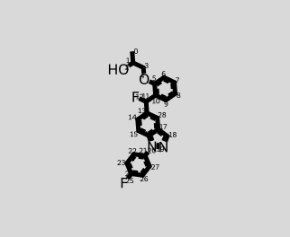 CC(O)COc1ccccc1C(F)c1ccc2c(cnn2-c2ccc(F)cc2)c1